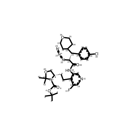 CC(C)(C)OC(=O)N1[C@@H](CCc2c(F)cncc2NC(=O)C(N=[N+]=[N-])[C@@H](c2ccc(Cl)cc2)C2CCOCC2)COC1(C)C